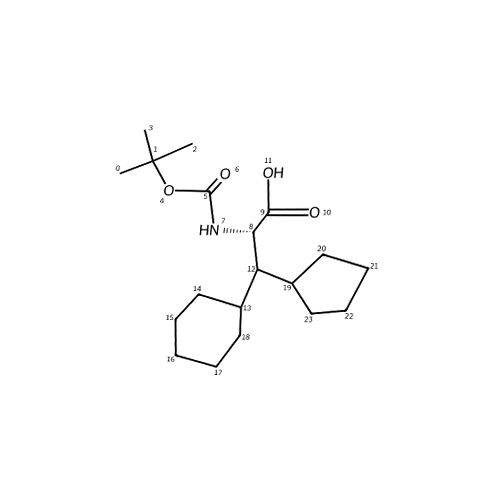 CC(C)(C)OC(=O)N[C@H](C(=O)O)C(C1CCCCC1)C1CCCC1